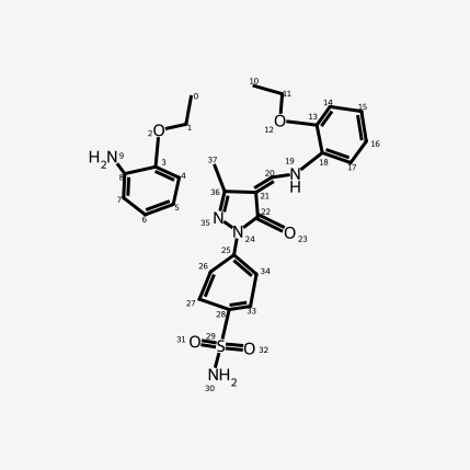 CCOc1ccccc1N.CCOc1ccccc1NC=C1C(=O)N(c2ccc(S(N)(=O)=O)cc2)N=C1C